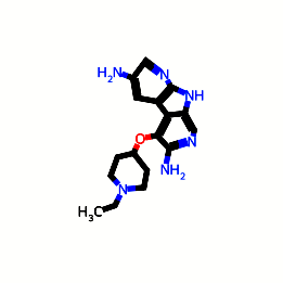 CCN1CCC(Oc2c(N)ncc3[nH]c4ncc(N)cc4c23)CC1